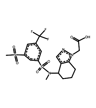 CN(C1CCCc2c1cnn2CC(=O)O)S(=O)(=O)c1cc(C(F)(F)F)cc(S(C)(=O)=O)c1